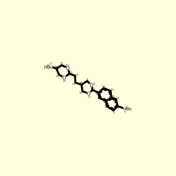 CCCCc1ccc2cc(C3OCC(CCC4OCC(CCCC)CO4)CO3)ccc2c1